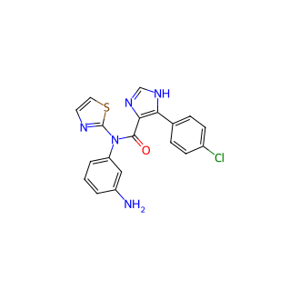 Nc1cccc(N(C(=O)c2nc[nH]c2-c2ccc(Cl)cc2)c2nccs2)c1